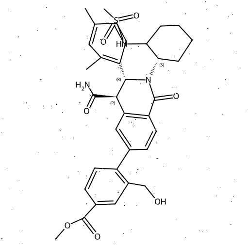 COC(=O)c1ccc(-c2ccc3c(c2)[C@@H](C(N)=O)[C@H](c2ccc(C)cc2C)N([C@H]2CCCCC2NS(C)(=O)=O)C3=O)c(CO)c1